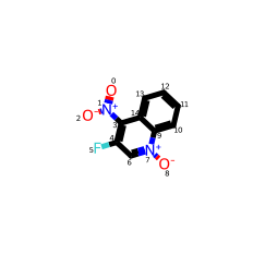 O=[N+]([O-])c1c(F)c[n+]([O-])c2ccccc12